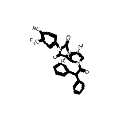 N#Cc1ccc(N2C(=O)[C@@H]3C4C[C@H](CN4C(=O)C(c4ccccc4)c4ccccc4)N3C2=O)cc1C(F)(F)F